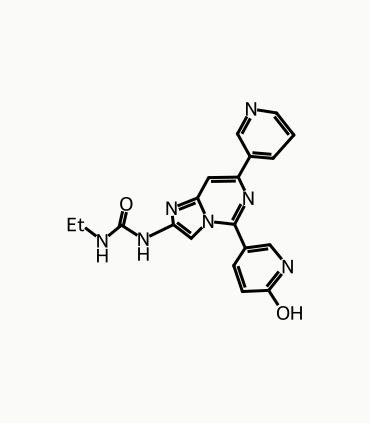 CCNC(=O)Nc1cn2c(-c3ccc(O)nc3)nc(-c3cccnc3)cc2n1